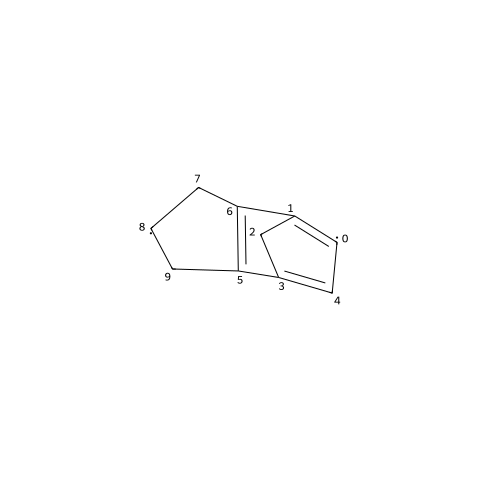 [C]1=C2CC(=C1)C1=C2C[CH]C1